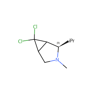 CC(C)[C@@H]1C2C(CN1C)C2(Cl)Cl